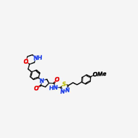 COc1ccc(CCc2nnc(NC(=O)C3CC(=O)N(c4ccc(CC5CNCCO5)cc4)C3)s2)cc1